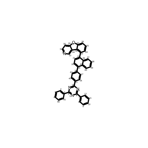 c1ccc(-c2nc(-c3ccccc3)nc(-c3ccc(-c4ccc(-c5cccc6oc7ccncc7c56)c5ccccc45)cc3)n2)cc1